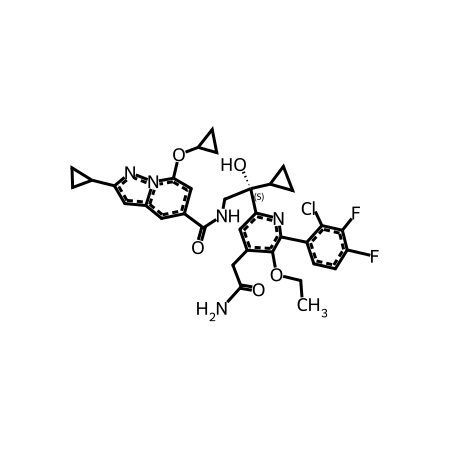 CCOc1c(CC(N)=O)cc([C@@](O)(CNC(=O)c2cc(OC3CC3)n3nc(C4CC4)cc3c2)C2CC2)nc1-c1ccc(F)c(F)c1Cl